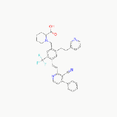 N#Cc1c(-c2ccccc2)ccnc1/C=C/c1cc(CCc2cccnc2)c(CN2CCCCC2C(=O)O)cc1C(F)(F)F